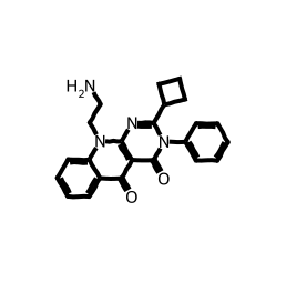 NCCn1c2ccccc2c(=O)c2c(=O)n(-c3ccccc3)c(C3CCC3)nc21